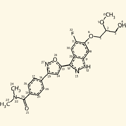 COC(CO)COc1cc2[nH]nc(-c3cc(-c4ccc(C(=O)N(C)C)cc4)no3)c2cc1F